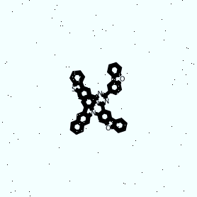 c1ccc2cc3c(cc2c1)c1ccccc1n3-c1cc2oc3ccccc3c2cc1-c1nc(-c2ccc3oc4ccccc4c3c2)nc(-c2ccc3sc4ccccc4c3c2)n1